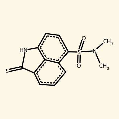 CN(C)S(=O)(=O)c1ccc2c3c(cccc13)C(=S)N2